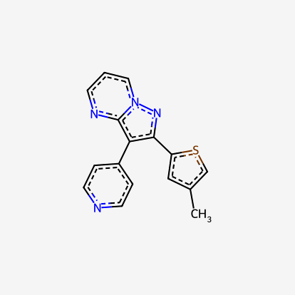 Cc1csc(-c2nn3cccnc3c2-c2ccncc2)c1